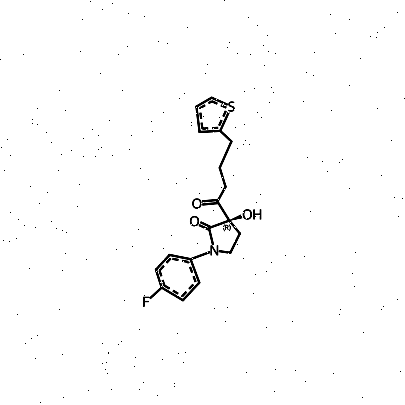 O=C(CCCc1cccs1)[C@]1(O)CCN(c2ccc(F)cc2)C1=O